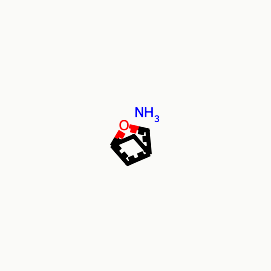 N.c1oc2cc1C2